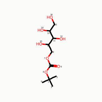 CC(C)(C)OC(=O)OCC(O)C(O)C(O)CO